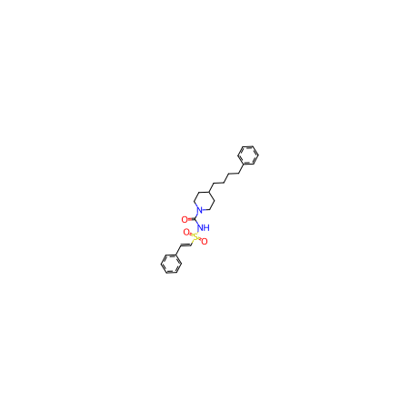 O=C(NS(=O)(=O)/C=C/c1ccccc1)N1CCC(CCCCc2ccccc2)CC1